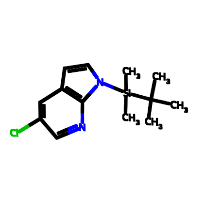 CC(C)(C)[Si](C)(C)n1ccc2cc(Cl)cnc21